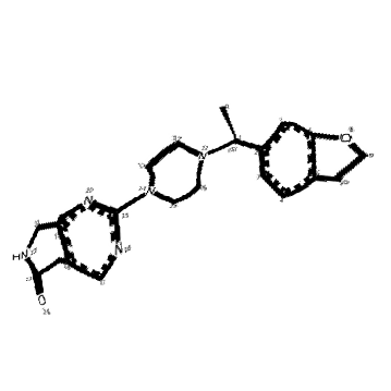 C[C@@H](c1ccc2c(c1)OCC2)N1CCN(c2ncc3c(n2)CNC3=O)CC1